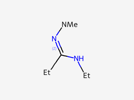 CCN/C(CC)=N\NC